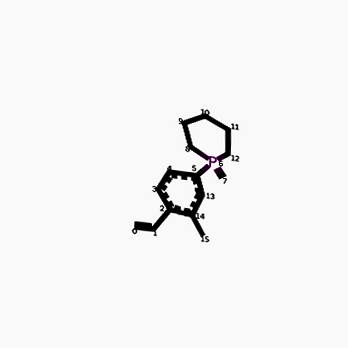 C=Cc1ccc(P2(=C)CCCCC2)cc1C